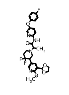 COc1ncc(C2CN(C(C)C(=O)Nc3ccc(Oc4ccc(F)cc4)cn3)CCC2(F)F)cc1C1OCCO1